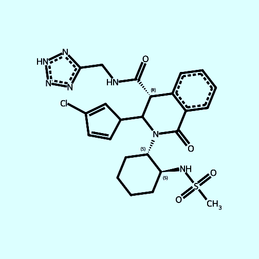 CS(=O)(=O)N[C@H]1CCCC[C@@H]1N1C(=O)c2ccccc2[C@@H](C(=O)NCc2nn[nH]n2)C1C1C=CC(Cl)=C1